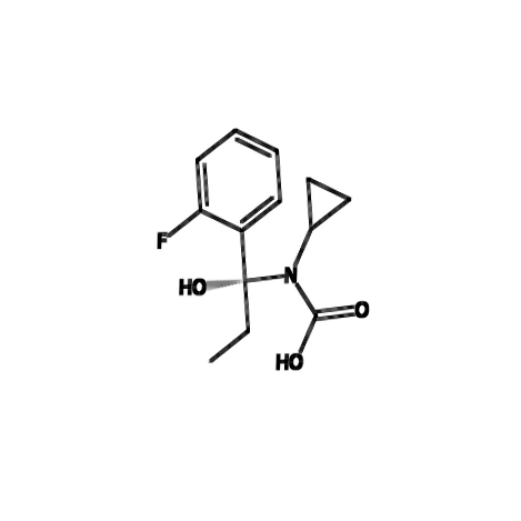 CC[C@@](O)(c1ccccc1F)N(C(=O)O)C1CC1